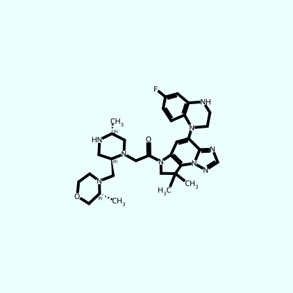 C[C@@H]1CN(CC(=O)N2CC(C)(C)c3c2cc(N2CCNc4cc(F)ccc42)c2ncnn32)[C@@H](CN2CCOC[C@H]2C)CN1